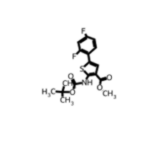 COC(=O)c1cc(-c2ccc(F)cc2F)sc1NC(=O)OC(C)(C)C